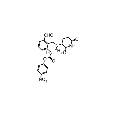 CN(Cc1c(C=O)cccc1NC(=O)Oc1ccc([N+](=O)[O-])cc1)C1CCC(=O)NC1=O